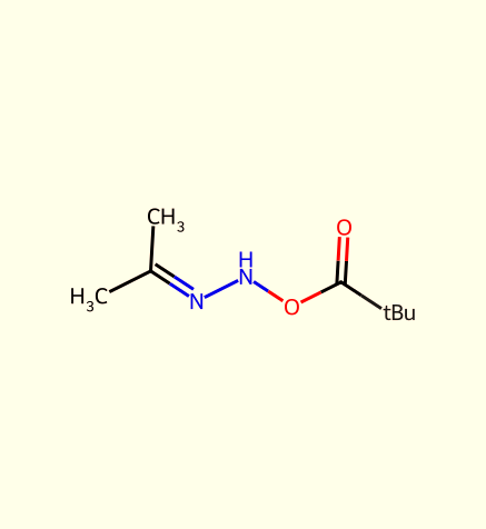 CC(C)=NNOC(=O)C(C)(C)C